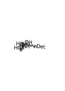 CCCCCCCCCCCCCC=CC(O)C(CO)NC(=O)C[C@@H](C)O